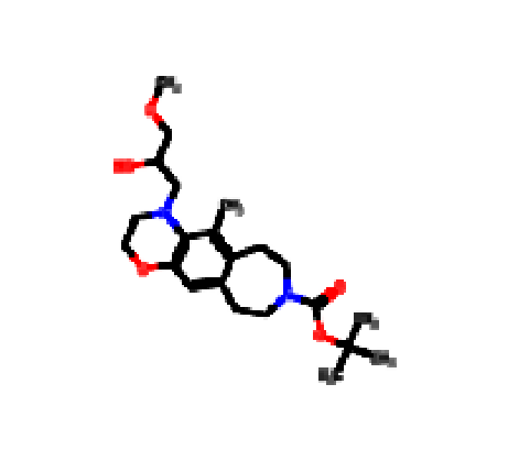 COCC(O)CN1CCOc2cc3c(c(C)c21)CCN(C(=O)OC(C)(C)C)CC3